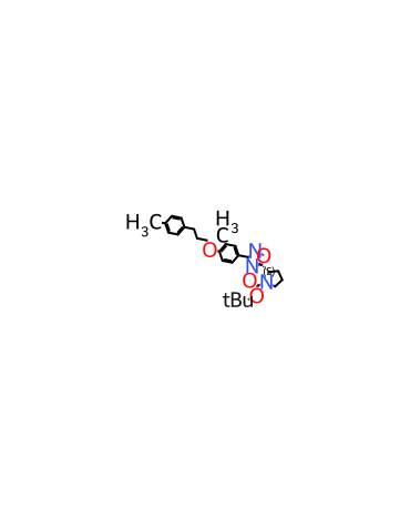 Cc1ccc(CCCOc2ccc(-c3noc([C@@H]4CCCN4C(=O)OC(C)(C)C)n3)cc2C)cc1